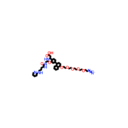 [N-]=[N+]=NCCOCCOCCOCCOCCOc1ccc(-c2ccc(C(CC(=O)O)NC(=O)CNC(=O)CCCCNc3ccccn3)cc2)c2ccccc12